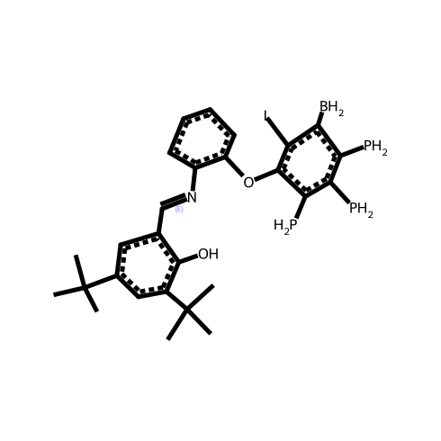 Bc1c(P)c(P)c(P)c(Oc2ccccc2/N=C/c2cc(C(C)(C)C)cc(C(C)(C)C)c2O)c1I